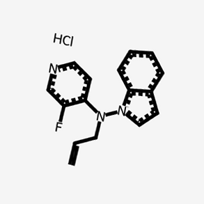 C=CCN(c1ccncc1F)n1ccc2ccccc21.Cl